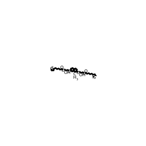 Cc1c(OCC(O)COC(=O)CCCCC2CCSS2)ccc2ccc(OCC(O)COC(=O)CCCCC3CCSS3)cc12